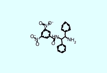 NC(c1ccccc1)C(NC(=O)c1cc([N+](=O)[O-])cc([N+](=O)[O-])c1)c1ccccc1